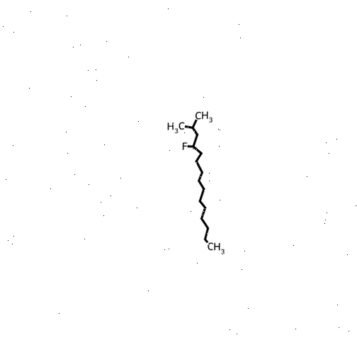 CCCCCCCCCCC[C](F)CC(C)C